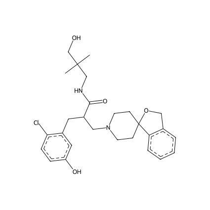 CC(C)(CO)CNC(=O)C(Cc1cc(O)ccc1Cl)CN1CCC2(CC1)OCc1ccccc12